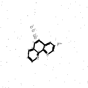 [Cl-].[Cl-].[Cl-].[Cl-].[Zr+4].c1cnc2c(c1)ccc1cccnc12